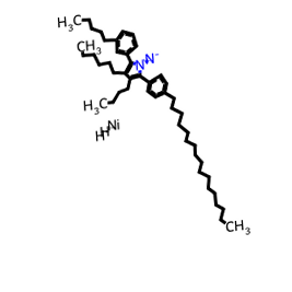 CCCCCCCCCCCCCCCCCc1ccc(C2=C(CCCC)C(CCCCCC)=C(c3cccc(CCCCC)c3)[N+]2=[N-])cc1.[H-].[H-].[Ni]